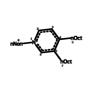 CCCCCCCCC[n+]1ccc(CCCCCCCC)c(CCCCCCCC)c1